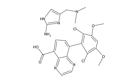 CN(C)Cc1c[nH]c(N)n1.COc1cc(OC)c(Cl)c(-c2ccc(C(=O)O)c3nccnc23)c1Cl